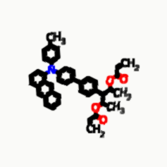 C=CC(=O)OC(C)C(c1ccc(-c2ccc(N(c3ccc(C)cc3)c3cccc4cc5ccccc5cc34)cc2)cc1)C(C)OC(=O)C=C